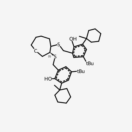 CC(C)(C)c1cc(CSC2CCCCCC[C@@H]2SCc2cc(C(C)(C)C)cc(C3(C)CCCCC3)c2O)c(O)c(C2(C)CCCCC2)c1